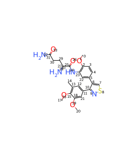 COc1ccc(-c2csnc2-c2cc(C)c(OC)c(OC)c2)cc1NC(=O)[C@@H](N)CCC(N)=O